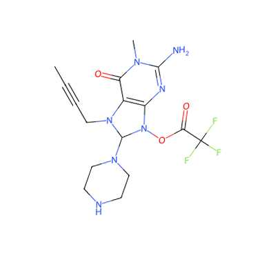 CC#CCN1c2c(nc(N)n(C)c2=O)N(OC(=O)C(F)(F)F)C1N1CCNCC1